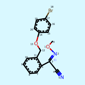 CO/N=C(/C#N)c1ccccc1COc1ccc(Br)cc1